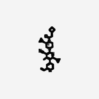 C=Cc1cc(-c2c(C3CC3)nc(N3CCN(C(=O)C=C4CCC4)[C@H](C4CC4)C3)c(C#N)c2C)ccn1